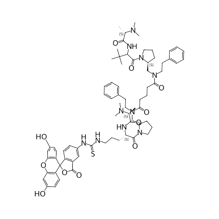 C[C@@H](C(=O)NC(C(=O)N1CCC[C@H]1CN(CCc1ccccc1)C(=O)CCCC(=O)N(CCc1ccccc1)C[C@@H]1CCCN1C(=O)[C@H](CCCNC(=S)Nc1ccc2c(c1)C(=O)OC21c2ccc(O)cc2Oc2cc(O)ccc21)NC(=O)[C@H](C)N(C)C)C(C)(C)C)N(C)C